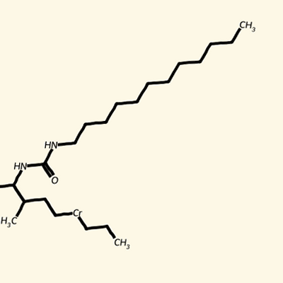 CCCCCCCCCCCCNC(=O)NC(C)C(C)C[CH2][Cr][CH2]CC